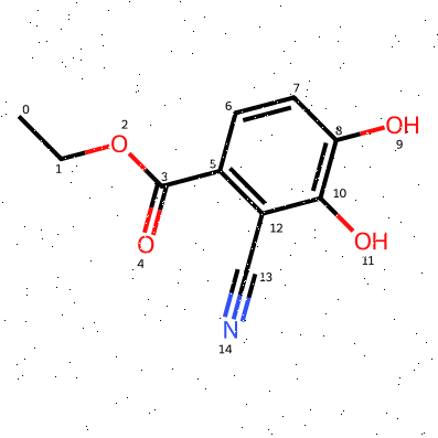 CCOC(=O)c1ccc(O)c(O)c1C#N